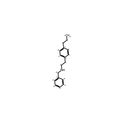 CCCc1ccc(CCNCc2ccccc2)cc1